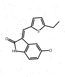 CCc1ccc(/C=C2/C(=O)Nc3ccc(Cl)cc32)s1